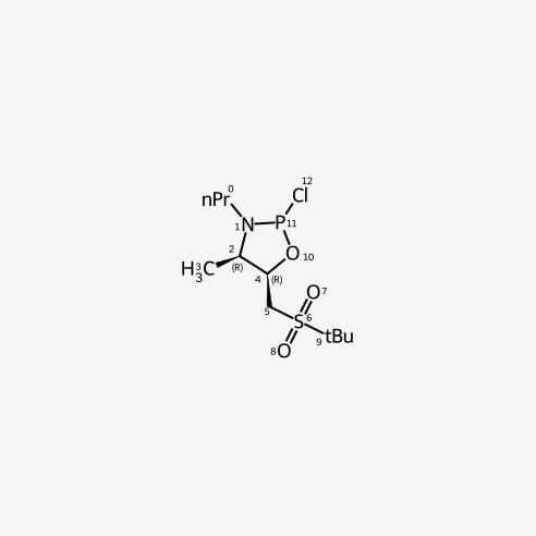 CCCN1[C@H](C)[C@H](CS(=O)(=O)C(C)(C)C)OP1Cl